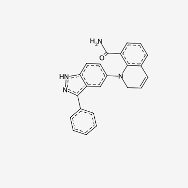 NC(=O)c1cccc2c1N(c1ccc3[nH]nc(-c4ccccc4)c3c1)CC=C2